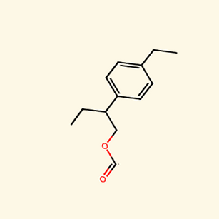 CCc1ccc(C(CC)CO[C]=O)cc1